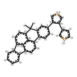 CC1(C)c2cc(-c3cscc3-c3ccsc3)ccc2-c2ccc3c4c(ccc1c24)-c1ccccc1-3